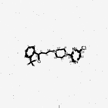 CC(C)(C)c1ccccc1C(=O)CCCN1CCN(c2cncc(Cl)n2)CC1